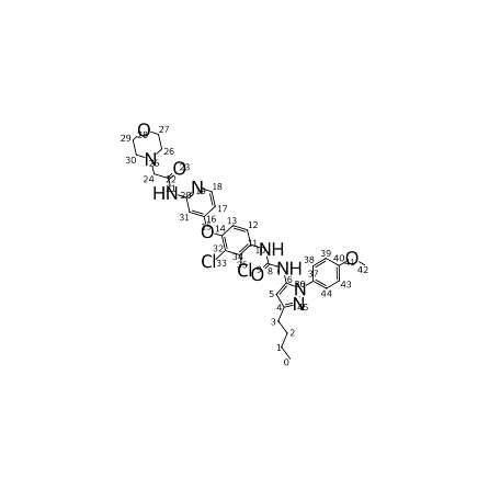 CCCCc1cc(NC(=O)Nc2ccc(Oc3ccnc(NC(=O)CN4CCOCC4)c3)c(Cl)c2Cl)n(-c2ccc(OC)cc2)n1